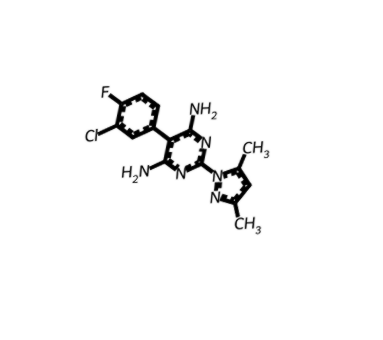 Cc1cc(C)n(-c2nc(N)c(-c3ccc(F)c(Cl)c3)c(N)n2)n1